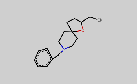 N#CCC1CCC2(CCN(Cc3ccccc3)CC2)O1